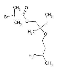 CCC(C)(COC(=O)C(C)(C)Br)OCCC(C)C